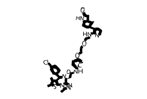 Cc1sc2c(c1C)C(c1ccc(Cl)cc1)=N[C@@H](CC(=O)Nc1ccc(OCCOCCNc3ncccc3-c3ccc4c(c3)CC(=O)N4)cc1)c1nnc(C)n1-2